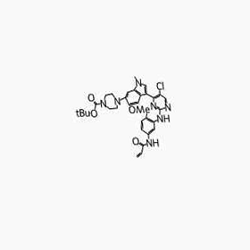 C=CC(=O)Nc1ccc(OC)c(Nc2ncc(Cl)c(-c3cn(C)c4cc(N5CCN(C(=O)OC(C)(C)C)CC5)ccc34)n2)c1